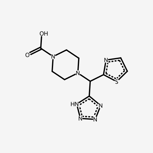 O=C(O)N1CCN(C(c2nnn[nH]2)c2nccs2)CC1